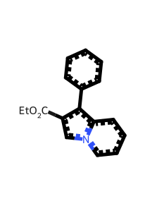 CCOC(=O)c1cn2ccccc2c1-c1ccccc1